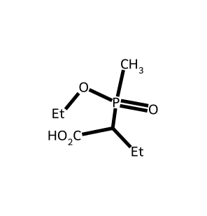 CCOP(C)(=O)C(CC)C(=O)O